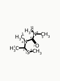 CSC(C)N(C)C(=O)N(C)C